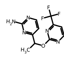 CC(Oc1nccc(C(F)(F)F)n1)c1ccnc(N)n1